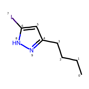 CCCCc1cc(I)[nH]n1